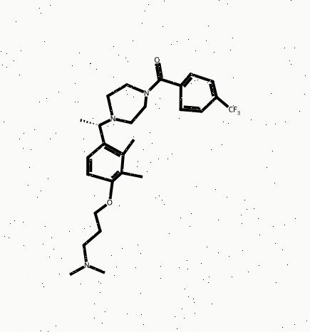 Cc1c(OCCCN(C)C)ccc([C@H](C)N2CCN(C(=O)c3ccc(C(F)(F)F)cc3)CC2)c1C